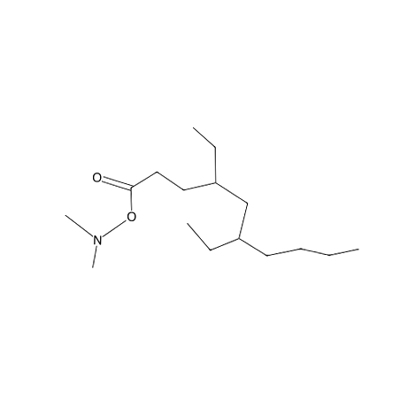 CCCCC(CC)CC(CC)CCC(=O)ON(C)C